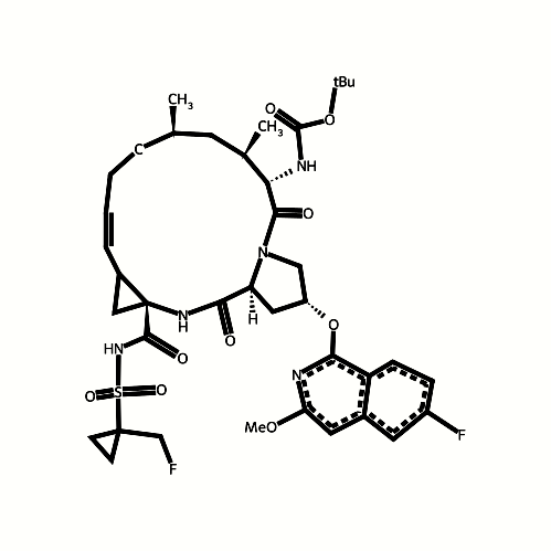 COc1cc2cc(F)ccc2c(O[C@@H]2C[C@H]3C(=O)N[C@]4(C(=O)NS(=O)(=O)C5(CF)CC5)CC4/C=C\CC[C@@H](C)C[C@@H](C)[C@H](NC(=O)OC(C)(C)C)C(=O)N3C2)n1